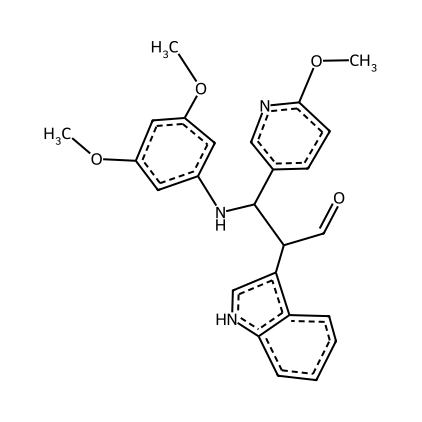 COc1cc(NC(c2ccc(OC)nc2)C(C=O)c2c[nH]c3ccccc23)cc(OC)c1